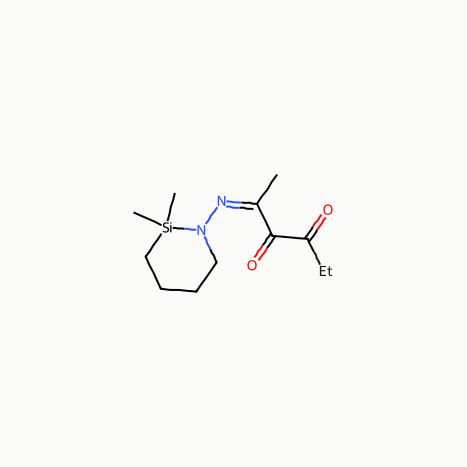 CCC(=O)C(=O)C(C)=NN1CCCC[Si]1(C)C